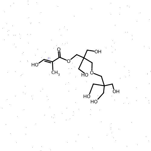 C/C(=C\O)C(=O)OCC(CO)(CO)COCC(CO)(CO)CO